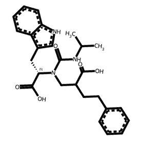 CC(C)NC(=O)N(CC(CCc1ccccc1)C(=O)O)[C@@H](Cc1c[nH]c2ccccc12)C(=O)O